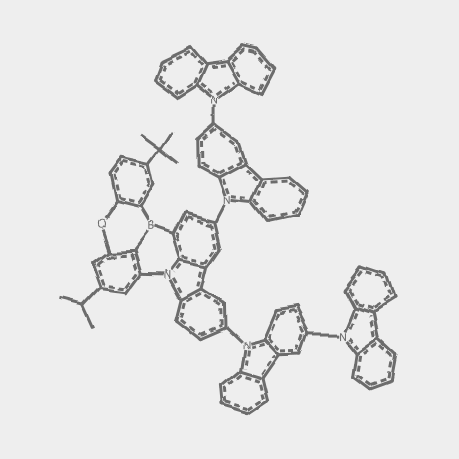 CC(C)c1cc2c3c(c1)-n1c4ccc(-n5c6ccccc6c6cc(-n7c8ccccc8c8ccccc87)ccc65)cc4c4cc(-n5c6ccccc6c6cc(-n7c8ccccc8c8ccccc87)ccc65)cc(c41)B3c1cc(C(C)(C)C)ccc1O2